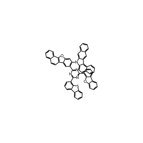 c1ccc2cc3c(cc2c1)c1c2ccccc2ccc1n3-c1cc2oc3c4ccccc4ccc3c2cc1-c1nc(-c2cccc3c2oc2ccccc23)nc(-c2cccc3c2sc2ccccc23)n1